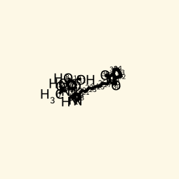 CC(=O)N[C@@H]1[C@@H](O)[C@@H](O)[C@@H](CO)O[C@@H]1c1cnncc1CCCCCCCCN1C(=O)c2ccccc2C1=O